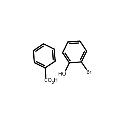 O=C(O)c1ccccc1.Oc1ccccc1Br